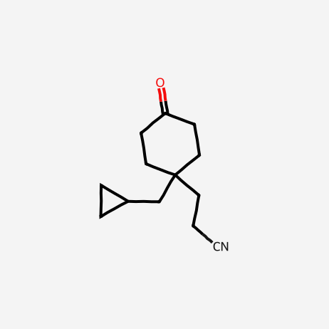 N#CCCC1(CC2CC2)CCC(=O)CC1